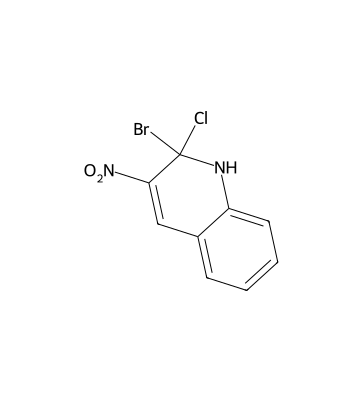 O=[N+]([O-])C1=Cc2ccccc2NC1(Cl)Br